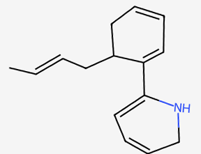 CC=CCC1CC=CC=C1C1=CC=CCN1